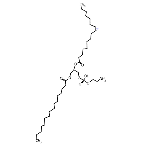 CCCCCC/C=C\CCCCCCCC(=O)OC(COC(=O)CCCCCCCCCCCCCCC)COP(=O)(O)OCCN